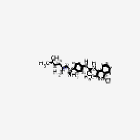 Cc1nc(Cl)c2ccccc2c1NC(=O)Nc1ccc(N(N)/C=C(\N)CCC(C)C)cc1